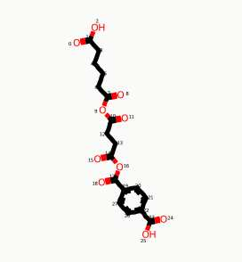 O=C(O)CCCCC(=O)OC(=O)CCC(=O)OC(=O)c1ccc(C(=O)O)cc1